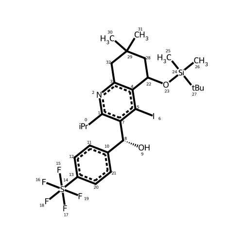 CC(C)c1nc2c(c(I)c1[C@H](O)c1ccc(S(F)(F)(F)(F)F)cc1)C(O[Si](C)(C)C(C)(C)C)CC(C)(C)C2